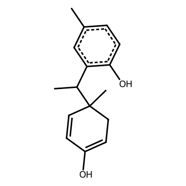 Cc1ccc(O)c(C(C)C2(C)C=CC(O)=CC2)c1